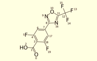 O=C(O)c1c(F)cc(-c2noc(C(F)(F)F)n2)cc1F